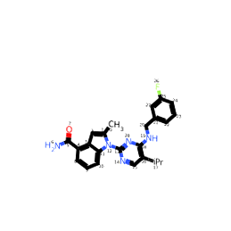 Cc1cc2c(C(N)=O)cccc2n1-c1ncc(C(C)C)c(NCc2cccc(F)c2)n1